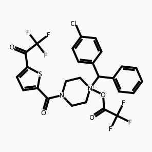 O=C(c1ccc(C(=O)C(F)(F)F)s1)N1CC[N+](OC(=O)C(F)(F)F)(C(c2ccccc2)c2ccc(Cl)cc2)CC1